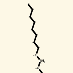 CCCCCCCCO[SiH2]OC